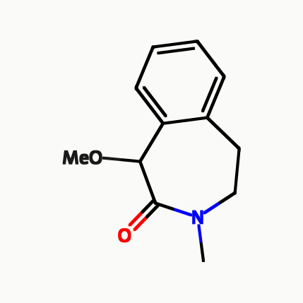 COC1C(=O)N(C)CCc2ccccc21